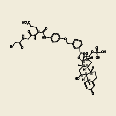 C[C@]12C=CC(=O)C=C1CC[C@@H]1[C@@H]2[C@@H](O)C[C@@]2(C)[C@H]1C[C@H]1O[C@@H](c3cccc(COc4ccc(NC(=O)[C@H](CCC(=O)O)NC(=O)CNC(=O)CBr)cc4)c3)O[C@]12C(=O)COP(=O)(O)O